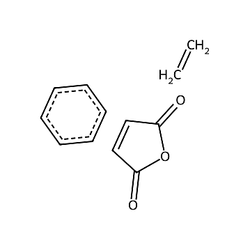 C=C.O=C1C=CC(=O)O1.c1ccccc1